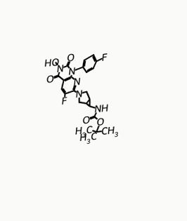 CC(C)(C)OC(=O)NC1C2CN(c3nc4c(cc3F)c(=O)n(O)c(=O)n4-c3ccc(F)cc3)CC21